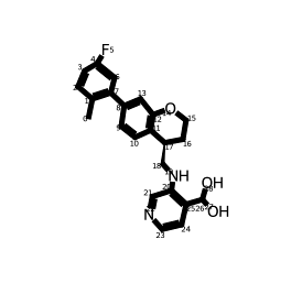 Cc1ccc(F)cc1-c1ccc2c(c1)OCC[C@H]2CNc1cnccc1C(O)O